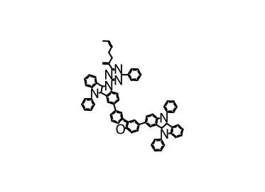 C=C(CC/C=C\C)c1nc(-c2ccccc2)nc(N2c3ccc(-c4ccc5oc6ccc(-c7ccc8c(c7)C7C(c9ccccc9N7c7ccccc7)N8c7ccccc7)cc6c5c4)cc3C3C2c2ccccc2N3c2ccccc2)n1